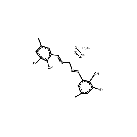 CC(=O)[O-].CC(=O)[O-].CCc1cc(C)cc(C=NCN=Cc2cc(C)cc(CC)c2O)c1O.[Co+2]